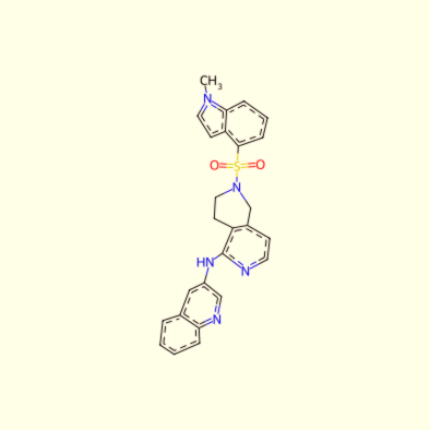 Cn1ccc2c(S(=O)(=O)N3CCc4c(ccnc4Nc4cnc5ccccc5c4)C3)cccc21